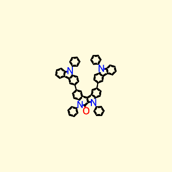 O=c1c2c(c3cc(-c4ccc5c(c4)c4ccccc4n5-c4ccccc4)ccc3n1-c1ccccc1)c1cc(-c3ccc4c(c3)c3ccccc3n4-c3ccccc3)ccc1n2-c1ccccc1